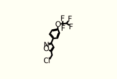 FC(F)C(F)(F)Oc1ccc(-c2cc(CCl)on2)cc1